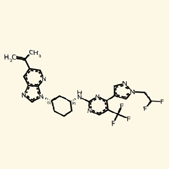 C=C(C)c1cnc2c(c1)ncn2[C@H]1CCC[C@@H](Nc2ncc(C(F)(F)F)c(-c3cnn(CC(F)F)c3)n2)C1